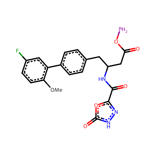 COc1ccc(F)cc1-c1ccc(CC(CC(=O)OP)NC(=O)c2n[nH]c(=O)o2)cc1